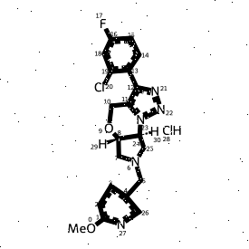 COc1ccc(CN2C[C@@H]3OCc4c(-c5ccc(F)cc5Cl)nnn4[C@H]3C2)cn1.Cl